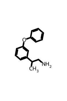 CC(CN)c1cccc(Oc2ccccc2)c1